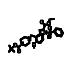 CCOC(=O)c1cc2c(CN3CCN(C(=O)OC(C)(C)C)CC3)c(OC)ccc2n1S(=O)(=O)c1ccccc1